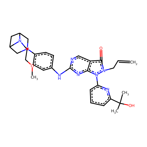 C=CCn1c(=O)c2cnc(Nc3ccc(N4CC5CC(C4)N5CCOC)cc3)nc2n1-c1cccc(C(C)(C)O)n1